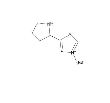 CC(C)(C)[n+]1csc(C2CCCN2)c1